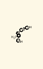 Cc1c(N2C=CCNC2)ccc2c1ccn2C1CCN(CC2(F)CCNCC2)CC1